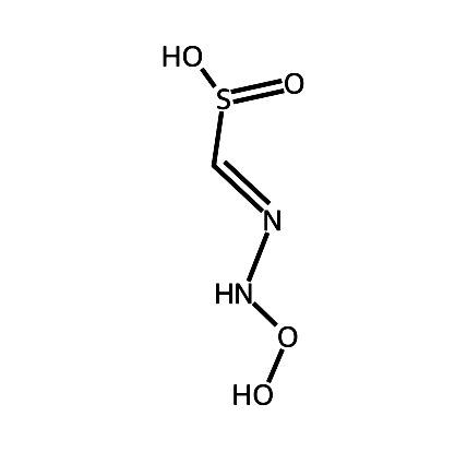 O=S(O)C=NNOO